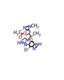 CC[C@H](C(=O)N1CCN/C1=N/c1ccc2[nH]cnc2c1Br)C(COC(C)=O)Cc1cncn1C